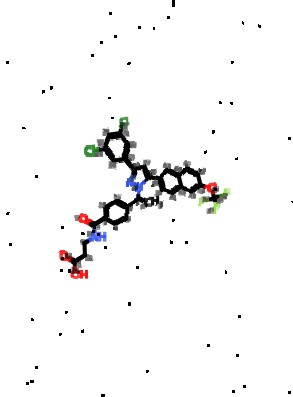 CC(c1ccc(C(=O)NCCC(=O)O)cc1)n1nc(-c2cc(Cl)cc(Cl)c2)cc1-c1ccc2cc(OC(F)(F)F)ccc2c1